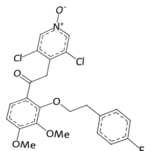 COc1ccc(C(=O)Cc2c(Cl)c[n+]([O-])cc2Cl)c(OCCc2ccc(F)cc2)c1OC